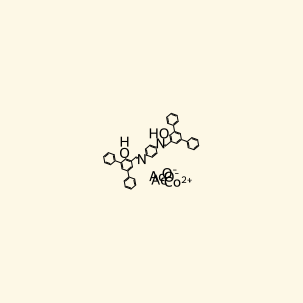 CC(=O)[O-].CC(=O)[O-].Oc1c(C=Nc2ccc(N=Cc3cc(-c4ccccc4)cc(-c4ccccc4)c3O)cc2)cc(-c2ccccc2)cc1-c1ccccc1.[Co+2]